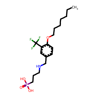 CCCCCCCOc1ccc(CNCCCP(=O)(O)O)cc1C(F)(F)F